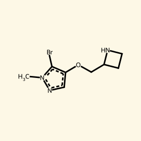 Cn1ncc(OCC2CCN2)c1Br